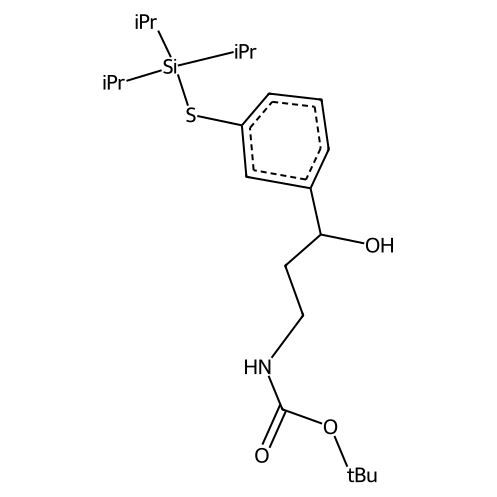 CC(C)[Si](Sc1cccc(C(O)CCNC(=O)OC(C)(C)C)c1)(C(C)C)C(C)C